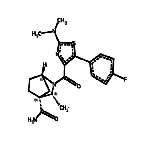 [CH2][C@H]1N(C(=O)c2nc(N(C)C)sc2-c2ccc(F)cc2)[C@H]2CC[C@@]1(C(N)=O)C2